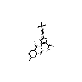 C=NN(C(=O)C1CCC(C)CC1)c1cc(C#CC(C)(C)C)sc1C(=O)O